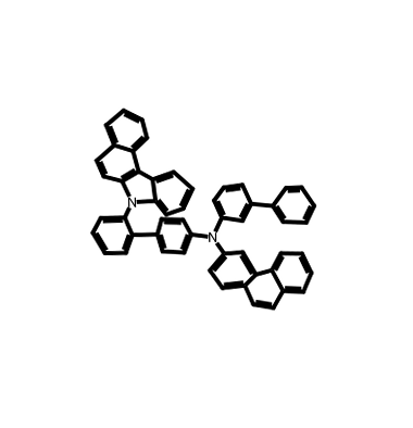 c1ccc(-c2cccc(N(c3ccc(-c4ccccc4-n4c5ccccc5c5c6ccccc6ccc54)cc3)c3ccc4ccc5ccccc5c4c3)c2)cc1